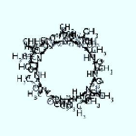 C/C=C/C[C@@H](C)[C@@H](O)[C@H]1C(=O)N[C@@H](CC)C(=O)N(C)CC(=O)N(C)[C@@H](C)C(=O)N[C@@H](C(C)C)C(=O)N(C)[C@@H](CC(C)C)C(=O)N[C@@H](C)C(=O)N[C@H](C)C(=O)N(C)[C@@H](CC(C)C)C(=O)N(C)[C@@H](CC(C)C)C(=O)N(C)[C@@H](C(C)C)C(=O)N1C